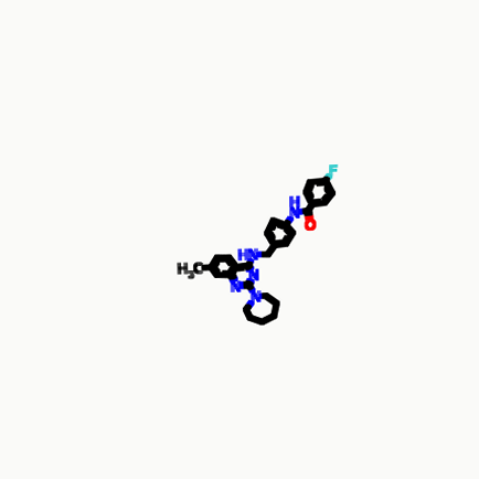 Cc1ccc2c(NCc3ccc(NC(=O)c4ccc(F)cc4)cc3)nc(N3CCCCCC3)nc2c1